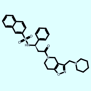 O=C(C[C@@H](NS(=O)(=O)c1ccc2ccccc2c1)c1ccccc1)N1CCc2onc(CN3CCCCC3)c2C1